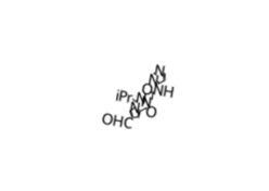 CC(C)c1nn(CC(=O)Nc2ccncn2)c(=O)c2cc(C=O)cn12